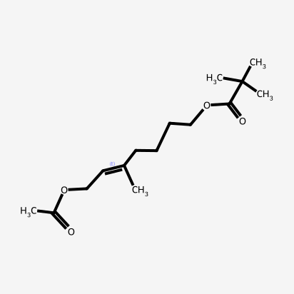 CC(=O)OC/C=C(\C)CCCCOC(=O)C(C)(C)C